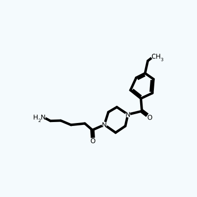 CCc1ccc(C(=O)N2CCN(C(=O)CCCCN)CC2)cc1